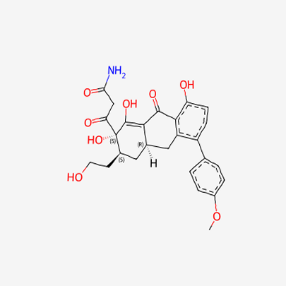 COc1ccc(-c2ccc(O)c3c2C[C@H]2C[C@@H](CCO)[C@@](O)(C(=O)CC(N)=O)C(O)=C2C3=O)cc1